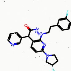 NC(=O)C(c1cccnc1)c1ccc(N2CC[C@H](F)C2)nc1NCCc1cccc(F)c1